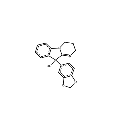 OC1(c2ccc3c(c2)OCO3)C2=NCCCN2c2ccccc21